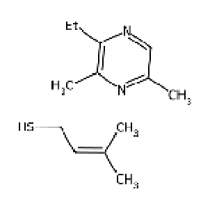 CC(C)=CCS.CCc1ncc(C)nc1C